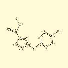 COC(=O)c1cnn(Cc2ccc(F)cc2)c1